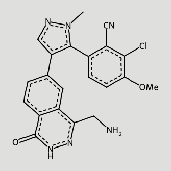 COc1ccc(-c2c(-c3ccc4c(=O)[nH]nc(CN)c4c3)cnn2C)c(C#N)c1Cl